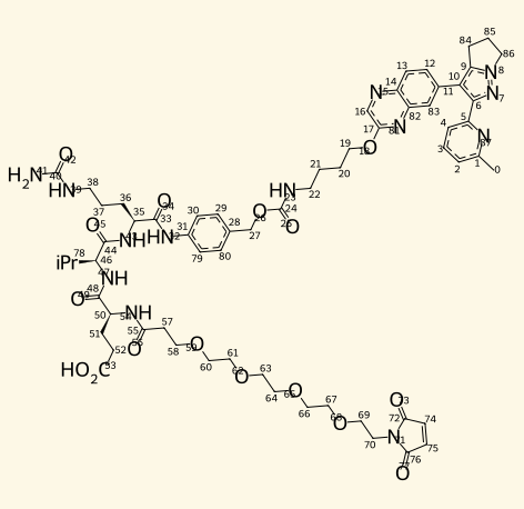 Cc1cccc(-c2nn3c(c2-c2ccc4ncc(OCCCCNC(=O)OCc5ccc(NC(=O)[C@H](CCCNC(N)=O)NC(=O)[C@@H](NC(=O)[C@H](CCC(=O)O)NC(=O)CCOCCOCCOCCOCCN6C(=O)C=CC6=O)C(C)C)cc5)nc4c2)CCC3)n1